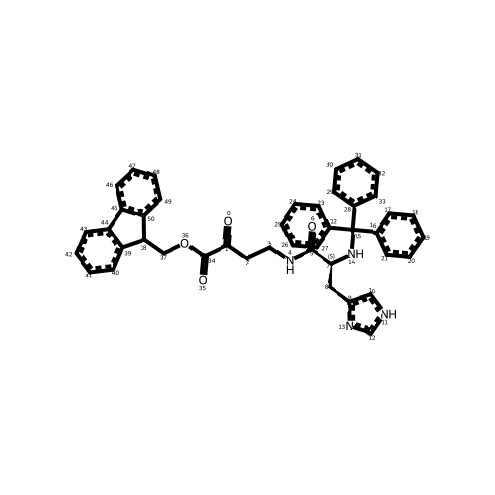 O=C(CCNC(=O)[C@H](Cc1c[nH]cn1)NC(c1ccccc1)(c1ccccc1)c1ccccc1)C(=O)OCC1c2ccccc2-c2ccccc21